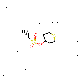 CCS(=O)(=O)OC1CCSCC1